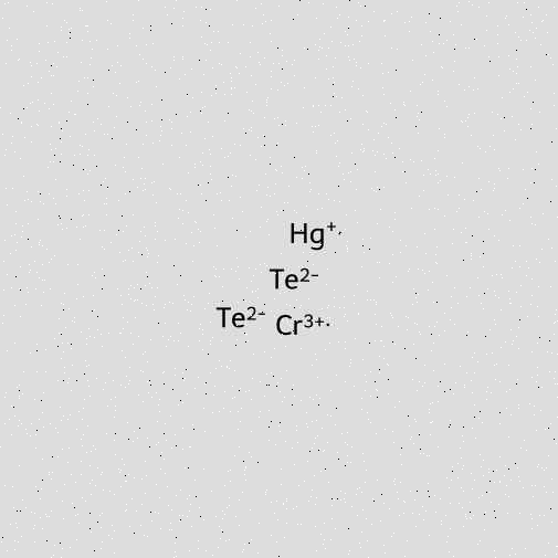 [Cr+3].[Hg+].[Te-2].[Te-2]